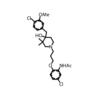 COc1cc(CC2(O)CCN(CCCOc3ccc(Cl)cc3NC(C)=O)CC2(C)C)ccc1Cl